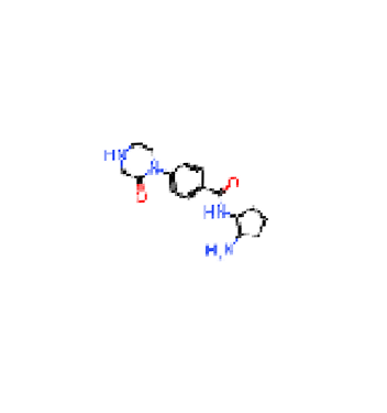 NC1CCCC1NC(=O)c1ccc(N2CCNCC2=O)cc1